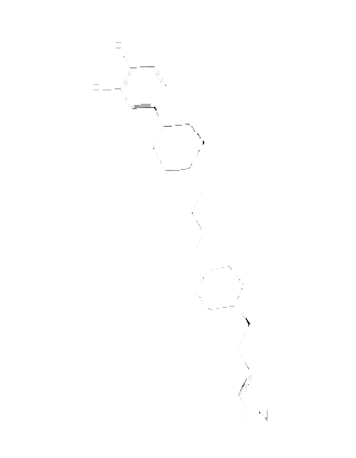 N#C/C=C/CC[C@H]1CC[C@H](CCCC[C@H]2CC[C@H](c3ccc(F)c(F)c3)CC2)CC1